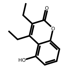 CCc1c(CC)c2c(O)cccc2oc1=O